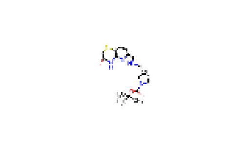 CC(C)(C)OC(=O)N1CC[C@@H](CNCc2ccc3c(n2)NC(=O)CS3)C1